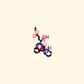 CCOC(=O)CC/C(=N\O)c1nc2ccccc2n([C@@H]2CC3CCC[C@H](C2)N3C2CC3CCCCC(C3)C2)c1=O